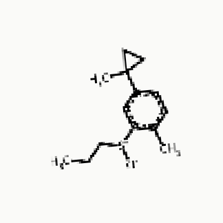 CCC[S+]([O-])c1cc(C2(C)CC2)ccc1C